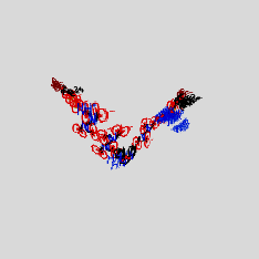 O=C([O-])CN(CCN(CC(=O)[O-])CC(=O)[O-])CC(=O)[O-].O=C([O-])CN(CCN(CC(=O)[O-])CC(=O)[O-])CC(=O)[O-].O=C([O-])CN(CCN(CC(=O)[O-])CC(=O)[O-])CC(=O)[O-].O=S(=O)([O-])[O-].O=S(=O)([O-])[O-].O=S(=O)([O-])[O-].[Br-].[Br-].[Br-].[Br-].[Br-].[Br-].[Fe+2].[Fe+2].[Fe+2].[Fe+2].[Fe+2].[Fe+2].[Fe+2].[NH4+].[NH4+].[NH4+].[NH4+].[NH4+].[NH4+].[NH4+].c1cc[nH][cH+]c1.c1cc[nH][cH+]c1.c1cc[nH][cH+]c1